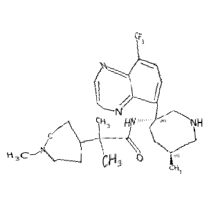 C[C@@H]1CNC[C@](NC(=O)C(C)(C)C2CCN(C)CC2)(c2ccc(C(F)(F)F)c3nccnc23)C1